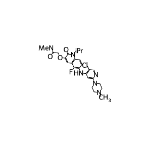 CNC(=O)COc1cc2c(F)c(Nc3cc(N4CCN(C)CC4)ncc3Cl)ccc2n(C(C)C)c1=O